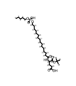 CCCCCOP(=O)(O)OCCCCCCCCCCCCCCCC(=O)NC(CCC(=O)O)C(=O)OC(C)(C)C